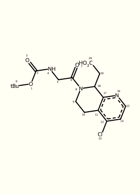 CC(C)(C)OC(=O)NCC(=O)N1CCc2c(Cl)ccnc2C1CC(=O)O